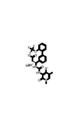 Cc1cn(C)c(=O)c(NC(=O)N[C@@H](CC(=O)[O-])c2cccc(-c3ccccc3OC(F)(F)F)c2)c1[O-].[Na+].[Na+]